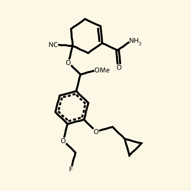 COC(OC1(C#N)CCC=C(C(N)=O)C1)c1ccc(OCF)c(OCC2CC2)c1